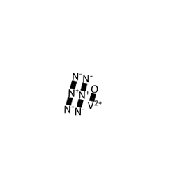 [N-]=[N+]=[N-].[N-]=[N+]=[N-].[O]=[V+2]